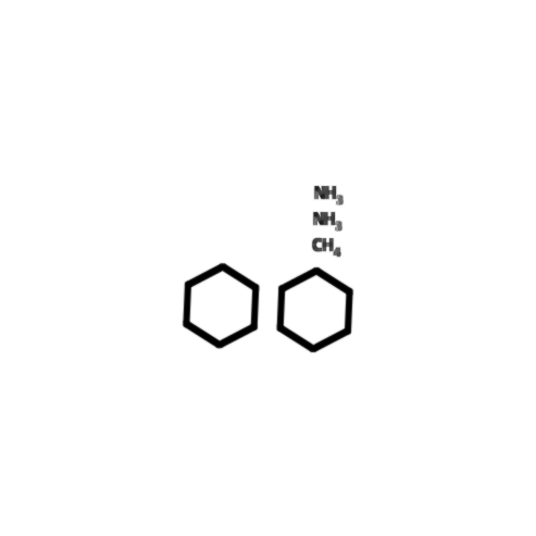 C.C1CCCCC1.C1CCCCC1.N.N